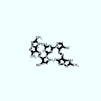 [C-]#[N+]c1cnn(-c2nc(O)nc(-n3ncc(C#N)c3/N=N/c3c(C)nn4nc(C)[nH]c34)n2)c1/N=N/c1c(C)nn2nc(C)[nH]c12